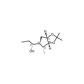 CC[C@@H](O)[C@H]1C[C@@H]2OC(C)(C)O[C@@H]2[C@@H]1C